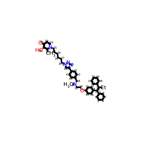 CC/C(=C(\c1ccccc1)c1ccc(OCCN(C)Cc2ccc(-c3cn(CCCCCCn4ccc(=O)c(O)c4C)nn3)cc2)cc1)c1ccccc1